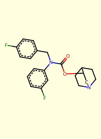 O=C(OC1CN2CCC1CC2)N(Cc1ccc(F)cc1)c1cccc(F)c1